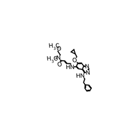 COCCN(C)C(=O)C=CCNc1cc2c(NCCc3ccccc3)ncnc2cc1OCC1CC1